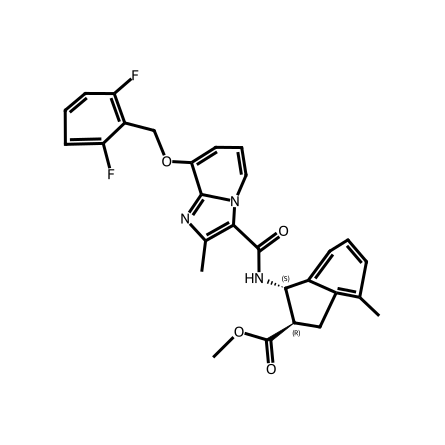 COC(=O)[C@@H]1Cc2c(C)cccc2[C@H]1NC(=O)c1c(C)nc2c(OCc3c(F)cccc3F)cccn12